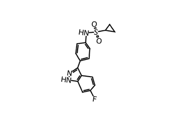 O=S(=O)(Nc1ccc(-c2n[nH]c3cc(F)ccc23)cc1)C1CC1